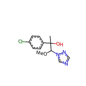 COC(n1cncn1)C(C)(O)c1ccc(Cl)cc1